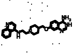 NC1NC=Nc2cc(OCC3CCN(CCNc4ccnc5ccccc45)CC3)ccc21